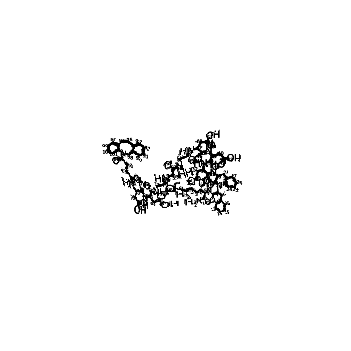 CCCCCC(NC(=O)C(Cc1ccccc1)NC(=O)C(Cc1ccccc1)NC(=O)C(CC(=O)O)NC(=O)C(CC(=O)O)NC(=O)C(CC(=O)O)NC(=O)CNC(=O)CNC(=O)CNC(=O)C(CC(=O)O)NC(=O)C(CC(=O)O)NC(=O)CCC(=O)N1Cc2ccccc2C#Cc2ccccc21)C(N)=O